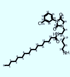 CCCCCCCCCCCCCCCC(=O)N[C@@H](CCCCN)CN1CC(=O)N(c2cccc(Cl)c2)C1=O